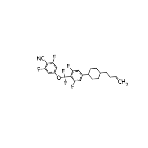 C=CCCC1CCC(c2cc(F)c(C(F)(F)Oc3cc(F)c(C#N)c(F)c3)c(F)c2)CC1